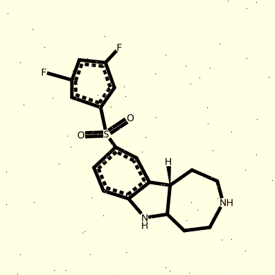 O=S(=O)(c1cc(F)cc(F)c1)c1ccc2c(c1)[C@@H]1CCNCCC1N2